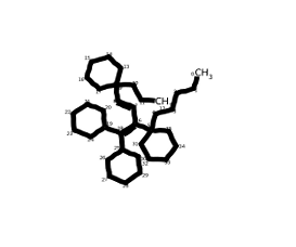 CCCCCC1(C(/C=C/C2(CCC)CCCCC2)=C(C2CCCCC2)C2CCCCC2)CCCCC1